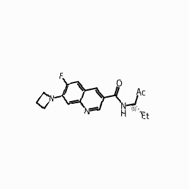 CC[C@H](NC(=O)c1cnc2cc(N3CCC3)c(F)cc2c1)C(C)=O